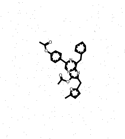 CC(=O)Oc1ccc(-c2cn3c(OC(C)=O)c(Cc4ccc(C)o4)nc3c(Cc3ccccc3)n2)cc1